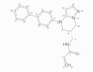 C=CC(=O)NC[C@@H]1CN(c2ccc(-c3ccccc3)cc2)c2ccnn2C1